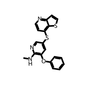 CNc1ncc(Sc2ccnc3ccsc23)cc1Oc1ccccc1